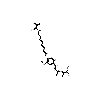 C=C(C)C(=O)OCCCCCCCCOc1ccc(/C=C/C(=O)OC(F)C(F)F)cc1OC